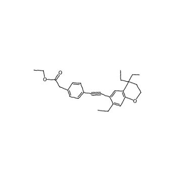 CCOC(=O)Cc1ccc(C#Cc2cc3c(cc2CC)OCCC3(CC)CC)cc1